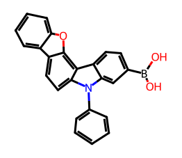 OB(O)c1ccc2c3c4oc5ccccc5c4ccc3n(-c3ccccc3)c2c1